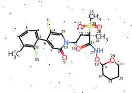 Cc1cccc(-c2cc(=O)n(CC[C@](C)(C(=O)NOC3CCCCO3)S(C)(=O)=O)cc2F)c1F